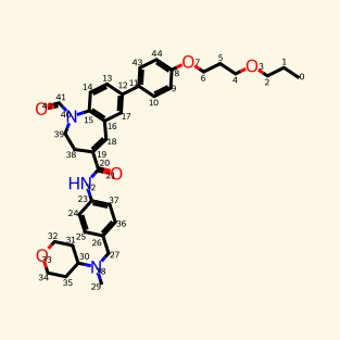 CCCOCCCOc1ccc(-c2ccc3c(c2)C=C(C(=O)Nc2ccc(CN(C)C4CCOCC4)cc2)CCN3C=O)cc1